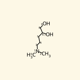 CN(C)CCCC(O)CO